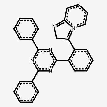 c1ccc(-c2nc(-c3ccccc3)nc(-c3ccccc3C3=[n+]4ccccc4=NC3)n2)cc1